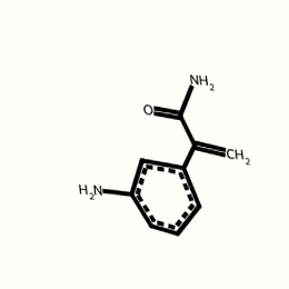 C=C(C(N)=O)c1cccc(N)c1